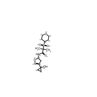 CC(C)(C(=O)NC1CC(C2(O)CC2)=NO1)S(=O)(=O)C1CCOCC1